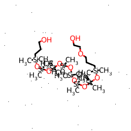 C[Si](C)(CCCO)O[Si](C)(C)O[Si](C)(C)O[Si](C)(C)O[Si](C)(C)O[Si](C)(C)O[Si](C)(C)O[Si](C)(C)CCCOCCO